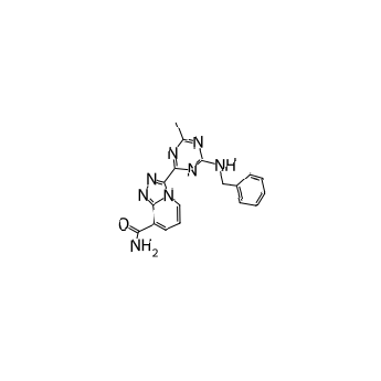 Cc1nc(NCc2ccccc2)nc(-c2nnc3c(C(N)=O)cccn23)n1